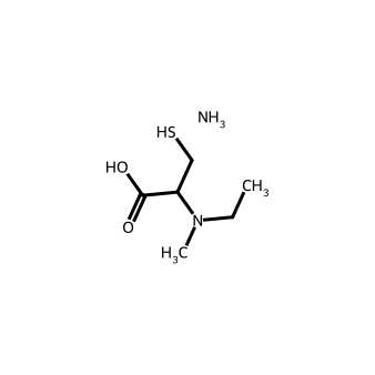 CCN(C)C(CS)C(=O)O.N